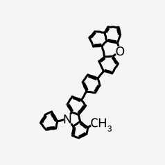 Cc1cccc2c1c1cc(-c3ccc(-c4ccc5c(c4)-c4cccc6cccc(c46)O5)cc3)ccc1n2-c1ccccc1